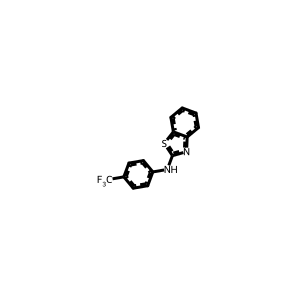 FC(F)(F)c1ccc(Nc2nc3ccccc3s2)cc1